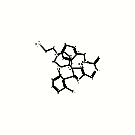 C=C(/N=C\c1nc(-c2c(F)cccc2Cl)n(C2CCN(CCN)CC2)c1N)NCc1ccccc1F